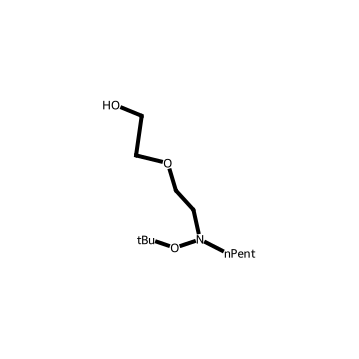 CCCCCN(CCOCCO)OC(C)(C)C